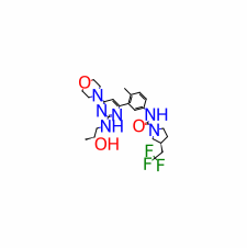 Cc1ccc(NC(=O)N2CC[C@@H](CC(F)(F)F)C2)cc1-c1cc(N2CCOCC2)nc(NC[C@H](C)O)n1